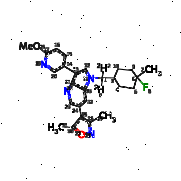 [2H]C([2H])(C1CCC(C)(F)CC1)n1cc(-c2ccc(OC)nc2)c2ncc(-c3c(C)noc3C)cc21